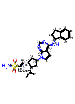 CC(C)(C)[Si](C)(C)[C@H]1C[C@H](n2ccc3c(N[C@H]4CCc5ccccc54)ncnc32)C[C@H]1/C=C/S(N)(=O)=O